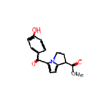 COC(=O)C1CCn2c(C(=O)c3ccc(O)cc3)ccc21